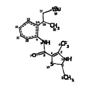 CC1NC(C(F)(F)F)=C(C(=O)Nc2ccccc2C(C)CC(C)(C)C)S1